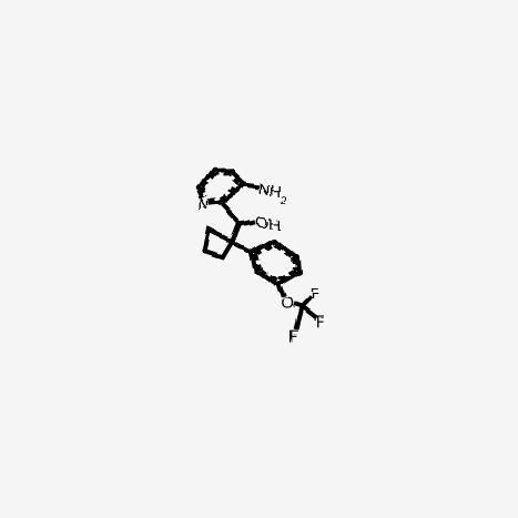 Nc1cccnc1C(O)C1(c2cccc(OC(F)(F)F)c2)CCC1